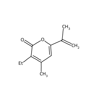 C=C(C)c1cc(C)c(CC)c(=O)o1